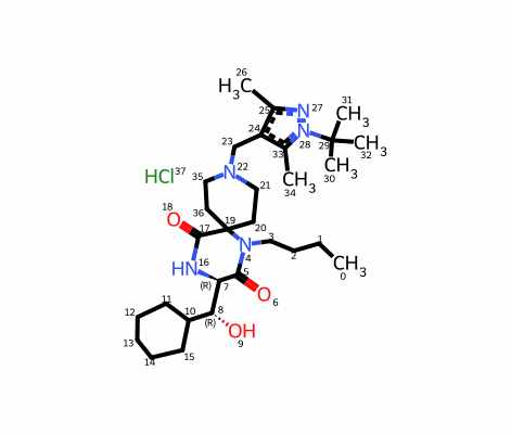 CCCCN1C(=O)[C@@H]([C@H](O)C2CCCCC2)NC(=O)C12CCN(Cc1c(C)nn(C(C)(C)C)c1C)CC2.Cl